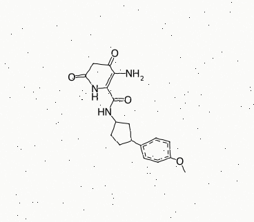 COc1ccc(C2CCC(NC(=O)C3=C(N)C(=O)CC(=O)N3)C2)cc1